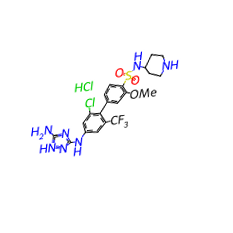 COc1cc(-c2c(Cl)cc(Nc3n[nH]c(N)n3)cc2C(F)(F)F)ccc1S(=O)(=O)NC1CCNCC1.Cl